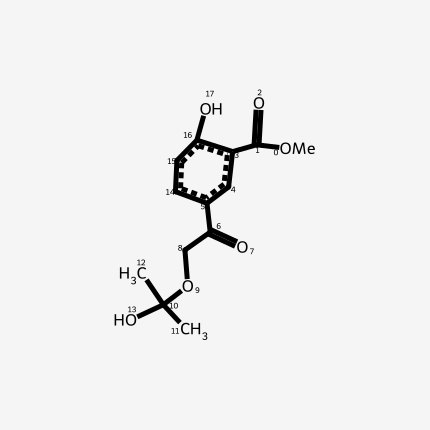 COC(=O)c1cc(C(=O)COC(C)(C)O)ccc1O